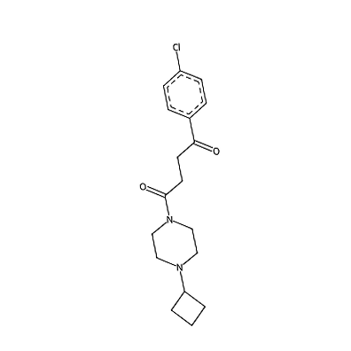 O=C(CCC(=O)N1CCN(C2CCC2)CC1)c1ccc(Cl)cc1